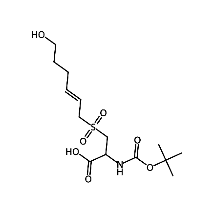 CC(C)(C)OC(=O)NC(CS(=O)(=O)CC=CCCCO)C(=O)O